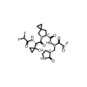 CC1([C@H](NC(=O)C(F)F)C(=O)N2CC3(CC3)C[C@H]2C(=O)NN(C[C@@H]2CCNC2=O)C(=O)[C@H](F)Cl)CC1